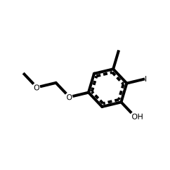 COCOc1cc(C)c(I)c(O)c1